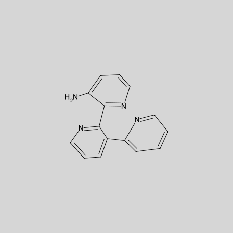 Nc1cccnc1-c1ncccc1-c1ccccn1